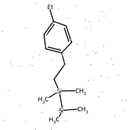 [CH2]Cc1ccc(CC[Si](C)(C)[Si](C)C)cc1